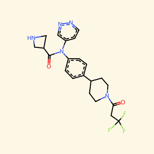 O=C(CC(F)(F)F)N1CCC(c2ccc(N(C(=O)C3CNC3)c3ccnnc3)cc2)CC1